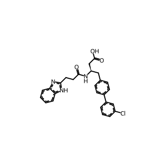 O=C(O)C[C@@H](Cc1ccc(-c2cccc(Cl)c2)cc1)NC(=O)CCc1nc2ccccc2[nH]1